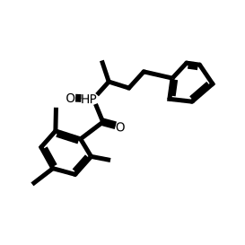 Cc1cc(C)c(C(=O)[PH](=O)C(C)CCc2ccccc2)c(C)c1